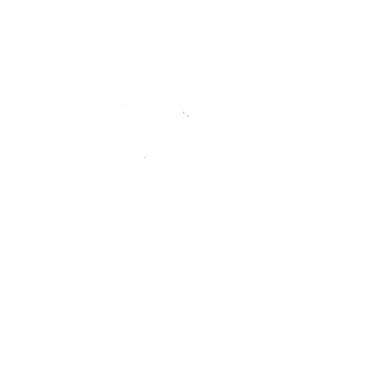 CCCCC(NC(=O)OCc1ccccc1)C(=O)CCCc1ccco1